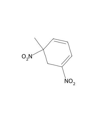 CC1([N+](=O)[O-])C=CC=C([N+](=O)[O-])C1